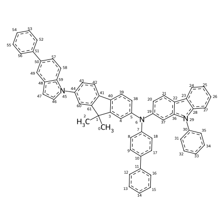 CC1(C)c2cc(N(c3ccc(-c4ccccc4)cc3)c3ccc4c5ccccc5n(-c5ccccc5)c4c3)ccc2-c2ccc(-n3ccc4cc(-c5ccccc5)ccc43)cc21